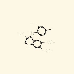 COc1cc2ncc(C#N)c(Nc3ccc(C)cc3O)c2cc1OC